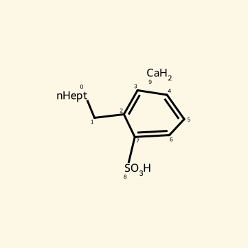 CCCCCCCCc1ccccc1S(=O)(=O)O.[CaH2]